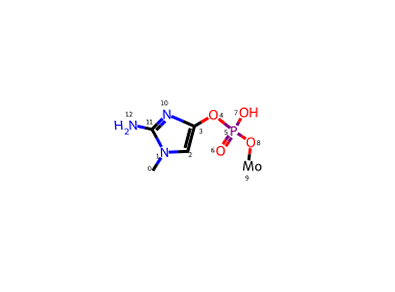 Cn1cc(OP(=O)(O)[O][Mo])nc1N